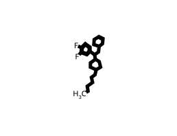 CCCCCCC1CCC(C(CC2CC=CCC2)c2ccc(F)c(F)c2)CC1